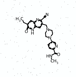 CCc1cc2nc(C#N)c(CN3CCN(c4ccc(C(=O)NC)nc4)CC3)cc2[nH]c1=O